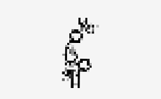 O=C1Nc2ccccc2C2(CCN(Cc3ccc([N+](=O)[O-])cc3)CC2)O1